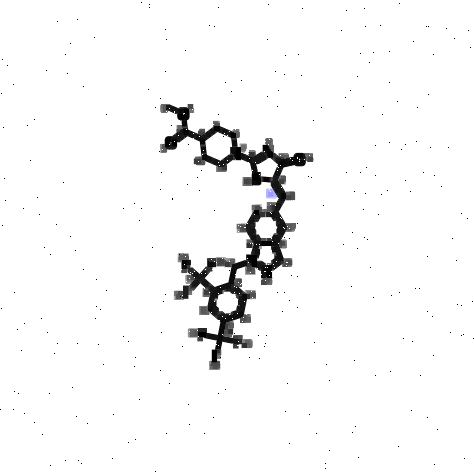 COC(=O)C1CCN(C2=NC(=O)/C(=C/c3ccc4c(cnn4Cc4ccc(C(F)(F)F)cc4C(F)(F)F)c3)S2)CC1